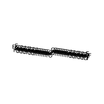 O=C(OOC(=O)C(F)(F)C(F)(F)C(F)(F)C(F)(F)C(F)(F)C(F)(F)C(F)(F)C(F)(F)C(F)(Cl)C(F)(Cl)C(F)(Cl)C(F)(Cl)C(F)(Cl)C(F)(Cl)C(F)(Cl)C(F)(Cl)C(F)(Cl)C(F)(Cl)C(F)(Cl)C(F)C(F)F)C(F)(F)C(F)(F)C(F)(F)C(F)(F)C(F)(F)C(F)(F)C(F)(F)C(F)(F)C(F)(Cl)C(F)(Cl)C(F)(Cl)C(F)(Cl)C(F)(Cl)C(F)(Cl)C(F)(Cl)C(F)(Cl)C(F)(Cl)C(F)(Cl)C(F)(Cl)C(F)C(F)F